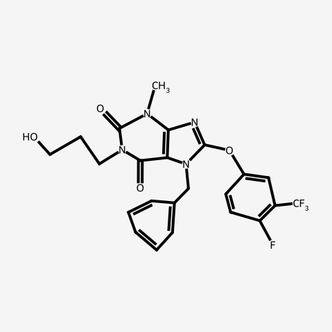 Cn1c(=O)n(CCCO)c(=O)c2c1nc(Oc1ccc(F)c(C(F)(F)F)c1)n2Cc1ccccc1